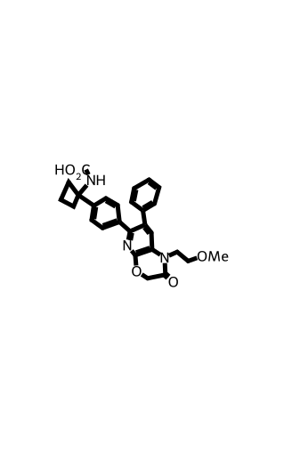 COCCN1C(=O)COc2nc(-c3ccc(C4(NC(=O)O)CCC4)cc3)c(-c3ccccc3)cc21